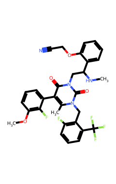 CNC(Cn1c(=O)c(-c2cccc(OC)c2F)c(C)n(Cc2c(F)cccc2C(F)(F)F)c1=O)c1ccccc1OCC#N